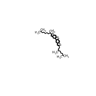 CC(C)CCCCCC(C)c1cc2cc3c(cc2s1)sc1cc2sc(CCC(C)CCCC(C)C)cc2cc13